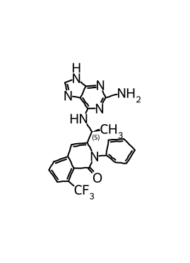 C[C@H](Nc1nc(N)nc2[nH]cnc12)c1cc2cccc(C(F)(F)F)c2c(=O)n1-c1ccccc1